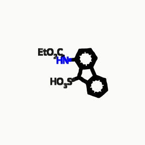 CCOC(=O)Nc1cccc2c1C(S(=O)(=O)O)c1ccccc1-2